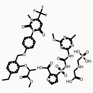 CCc1ccc(COc2ccc(-n3c(=O)cc(C(F)(F)F)n(C)c3=O)cc2)c(OC(C)C(=O)OC)c1.COc1nc(C)nc(NC(=O)NS(=O)(=O)c2ccsc2C(=O)O)n1.O=C(O)CNCP(=O)(O)O